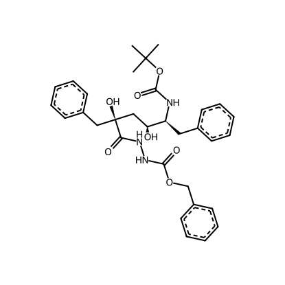 CC(C)(C)OC(=O)N[C@@H](Cc1ccccc1)[C@@H](O)C[C@@](O)(Cc1ccccc1)C(=O)NNC(=O)OCc1ccccc1